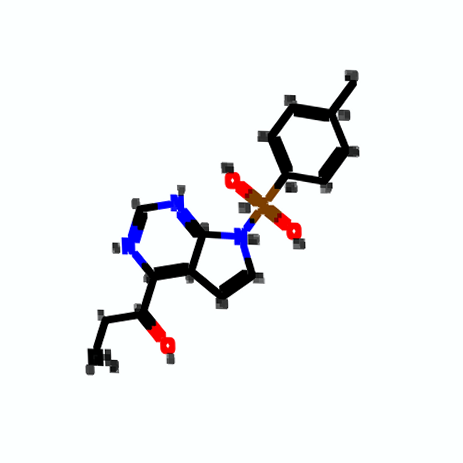 BCC(=O)c1ncnc2c1ccn2S(=O)(=O)c1ccc(C)cc1